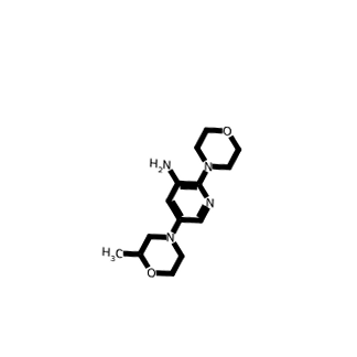 CC1CN(c2cnc(N3CCOCC3)c(N)c2)CCO1